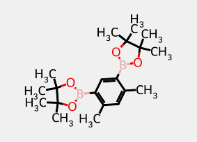 Cc1cc(C)c(B2OC(C)(C)C(C)(C)O2)cc1B1OC(C)(C)C(C)(C)O1